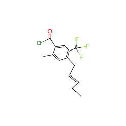 CCC=CCc1cc(C)c(C(=O)Cl)cc1C(F)(F)F